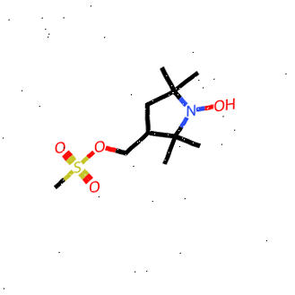 CC1(C)CC(COS(C)(=O)=O)C(C)(C)N1O